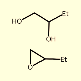 CCC(O)CO.CCC1CO1